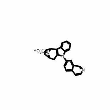 O=C(O)N1C2CCC1c1c(n(-c3ccc4ccncc4c3)c3ccccc13)C2